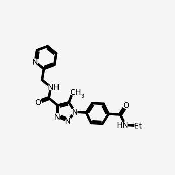 CCNC(=O)c1ccc(-n2nnc(C(=O)NCc3ccccn3)c2C)cc1